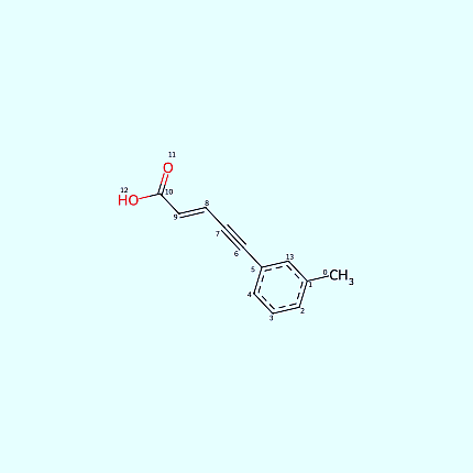 Cc1cccc(C#C/C=C/C(=O)O)c1